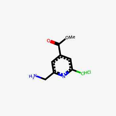 COC(=O)c1cc(Cl)nc(CN)c1.Cl